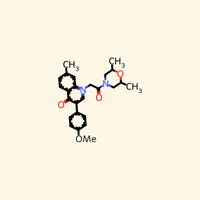 COc1ccc(-c2cn(CC(=O)N3CC(C)OC(C)C3)c3cc(C)ccc3c2=O)cc1